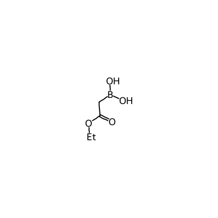 CCOC(=O)CB(O)O